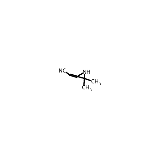 CC1(C)N/C1=C\C#N